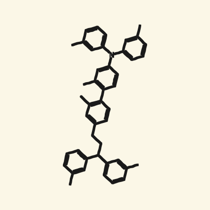 Cc1cccc(C(CCc2ccc(-c3ccc(N(c4cccc(C)c4)c4cccc(C)c4)cc3C)c(C)c2)c2cccc(C)c2)c1